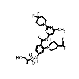 Cc1cc(NC(=O)c2ccc(NS(=O)(=O)C(F)CO)cc2N2CCC(=C(F)F)CC2)nc(N2CCC(F)(F)CC2)n1